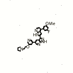 COc1cc(F)cc(-c2ccnc3[nH]c(-c4n[nH]c5ncc(-c6cncc(OCCN7CCCC7)c6)cc45)cc23)c1